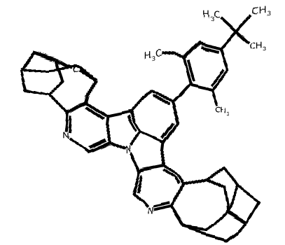 Cc1cc(C(C)(C)C)cc(C)c1-c1cc2c3c4c(ncc3n3c5cnc6c(c5c(c1)c23)C1CC2CC3CC6CC32C1)C1CC2CC(C1)CC4C2